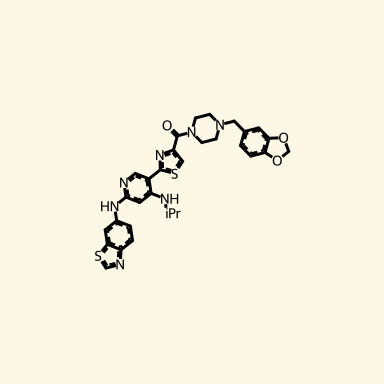 CC(C)Nc1cc(Nc2ccc3ncsc3c2)ncc1-c1nc(C(=O)N2CCN(Cc3ccc4c(c3)OCO4)CC2)cs1